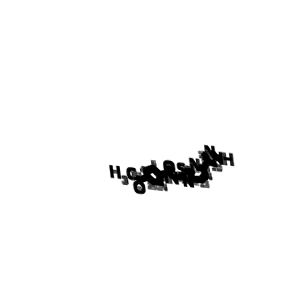 CC(=O)c1ccc(C(=O)Nc2nc3ccc(-c4cn[nH]c4)nc3s2)cc1